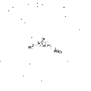 CCNCCCCSP(=O)(O)OCCO